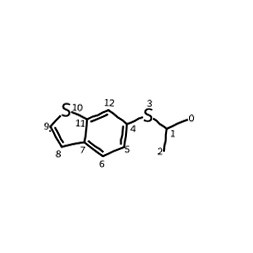 CC(C)Sc1ccc2c[c]sc2c1